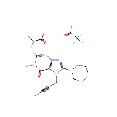 CC#CCn1c(N2CCNCC2)nc2nc(SC(C)C(=O)O)n(C)c(=O)c21.O=C(O)C(F)(F)F